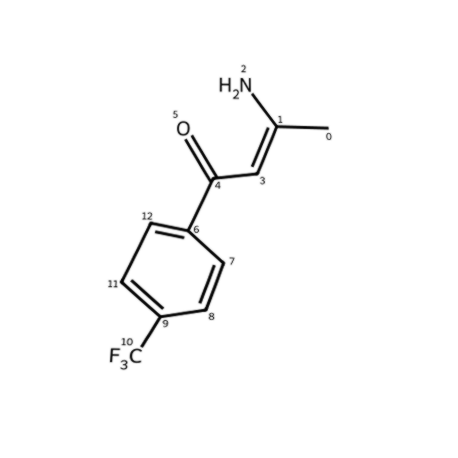 C/C(N)=C/C(=O)c1ccc(C(F)(F)F)cc1